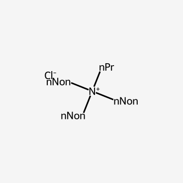 CCCCCCCCC[N+](CCC)(CCCCCCCCC)CCCCCCCCC.[Cl-]